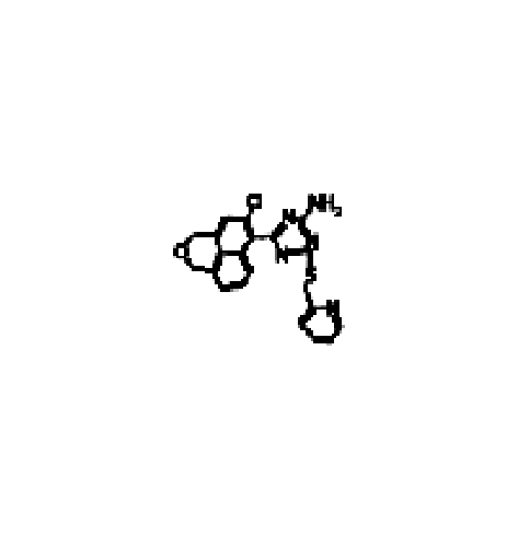 Nc1nc(SCc2ccccn2)nc(-c2c(Cl)cc3c4c(cccc24)COC3)n1